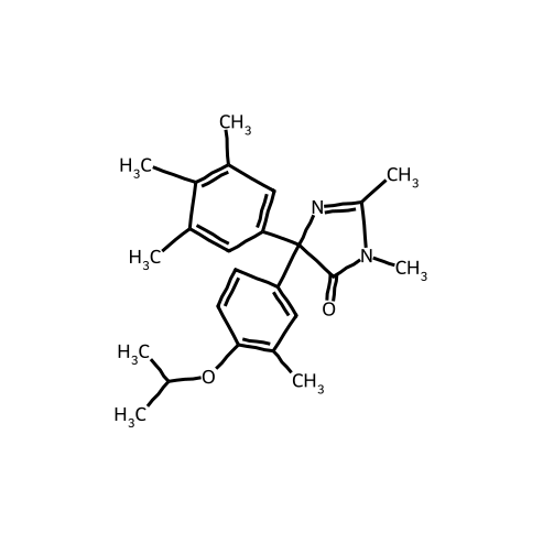 CC1=NC(c2ccc(OC(C)C)c(C)c2)(c2cc(C)c(C)c(C)c2)C(=O)N1C